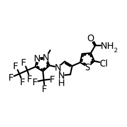 Cn1nc(C(F)(F)C(F)(F)F)c(C(F)(F)F)c1N1C=C(c2cc(C(N)=O)c(Cl)s2)CN1